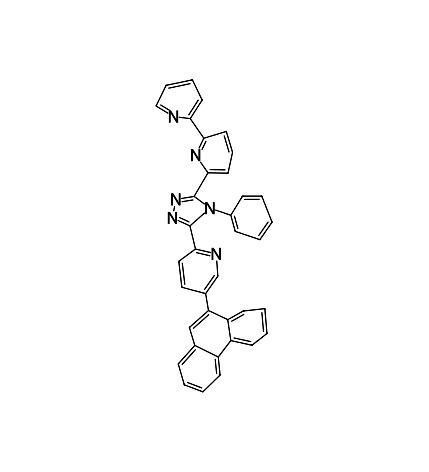 c1ccc(-n2c(-c3ccc(-c4cc5ccccc5c5ccccc45)cn3)nnc2-c2cccc(-c3ccccn3)n2)cc1